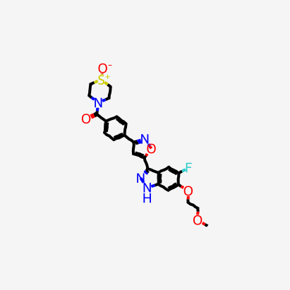 COCCOc1cc2[nH]nc(-c3cc(-c4ccc(C(=O)N5CC[S+]([O-])CC5)cc4)no3)c2cc1F